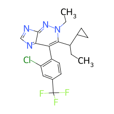 CCC(c1c(-c2ccc(C(F)(F)F)cc2Cl)c2ncnc-2nn1CC)C1CC1